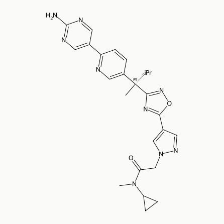 CC(C)[C@](C)(c1ccc(-c2cnc(N)nc2)nc1)c1noc(-c2cnn(CC(=O)N(C)C3CC3)c2)n1